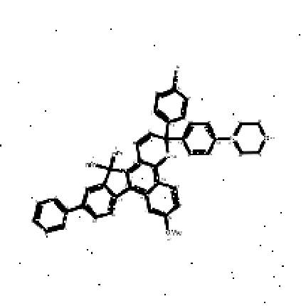 CCCC1(CCC)c2cc(-c3ccccc3)ccc2-c2c1c1c(c3ccc(OC)cc23)OC(c2ccc(F)cc2)(c2ccc(N3CCOCC3)cc2)C=C1